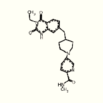 CCn1c(=O)[nH]c2cc(CC3CCN(c4ccc(C(=O)NC)nc4)CC3)ccc2c1=O